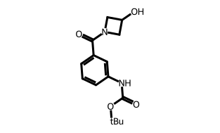 CC(C)(C)OC(=O)Nc1cccc(C(=O)N2CC(O)C2)c1